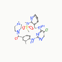 Cc1cc(C(=O)N2CCN(C)CC2)ccc1Nc1ncc(Cl)c(NCc2cccnc2N(C)S(C)(=O)=O)n1